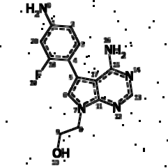 Nc1ccc(-c2cn(CCO)c3ncnc(N)c23)c(F)c1